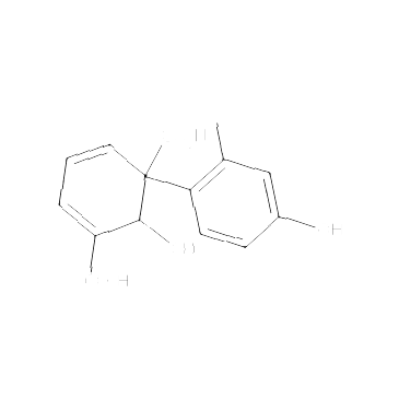 CC1C(C(=O)O)=CC=CC1(C(=O)O)c1ccc(O)cc1F